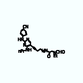 CCCNc1nc(Nc2ccc(C#N)cc2)ncc1C#CCCCNC(=O)CN(C=O)CC